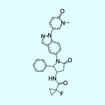 Cn1cc(-n2ncc3cc(N4C(=O)CC(NC(=O)C5(F)CC5)C4c4ccccc4)ccc32)ccc1=O